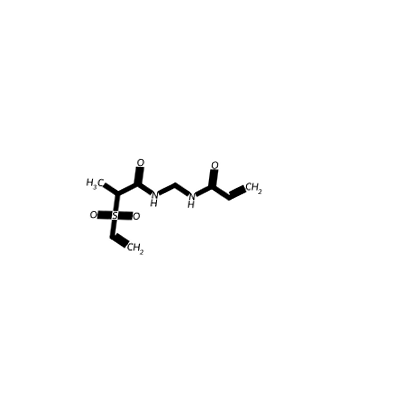 C=CC(=O)NCNC(=O)C(C)S(=O)(=O)C=C